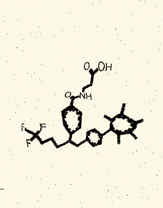 Cc1c(C)c(C)c(-c2ccc(CC(CCCC(F)(F)F)c3ccc(C(=O)NCCC(=O)O)cc3)cc2)c(C)c1C